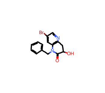 O=C1C(O)Cc2ncc(Br)cc2N1Cc1ccccc1